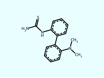 CN(C)c1ccccc1-c1ccccc1NC(N)=S